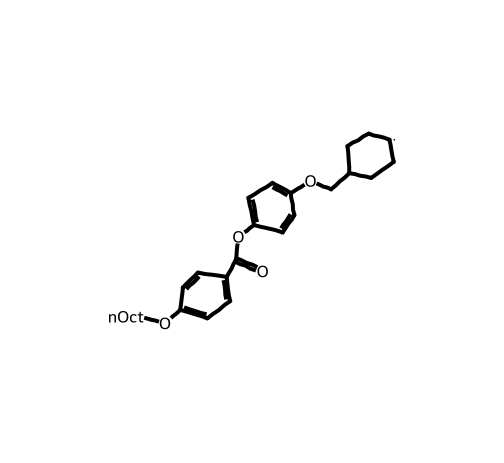 CCCCCCCCOc1ccc(C(=O)Oc2ccc(OCC3CC[CH]CC3)cc2)cc1